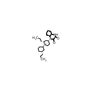 CCC[C@@H]1CCC[C@@H](N2CC[C@@H](n3c(=O)c(=O)[nH]c4ccccc43)C[C@H]2CCC)C1